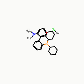 CN(C)c1ccccc1-c1ccccc1P(C1CCCCC1)C1CCCCC1.[Cl][Au]